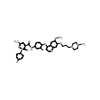 COc1cc2c(Oc3ccc(NC(=O)c4cc(C)nn(-c5ccc(F)cc5)c4=O)cc3F)ccnc2cc1OCCCN1CCN(C)CC1